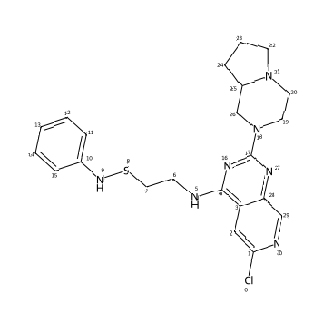 Clc1cc2c(NCCSNc3ccccc3)nc(N3CCN4CCCC4C3)nc2cn1